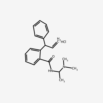 C=CC(c1ccccc1)c1ccccc1C(=O)NC(C)N(C)C.Cl